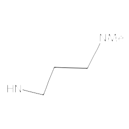 CNCCC[NH]